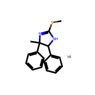 CSC1=NC(C)(c2ccccc2)C(c2ccccc2)N1.I